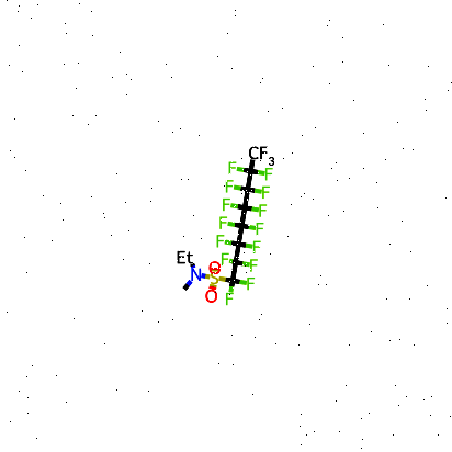 CCN(C)S(=O)(=O)C(F)(F)C(F)(F)C(F)(F)C(F)(F)C(F)(F)C(F)(F)C(F)(F)C(F)(F)F